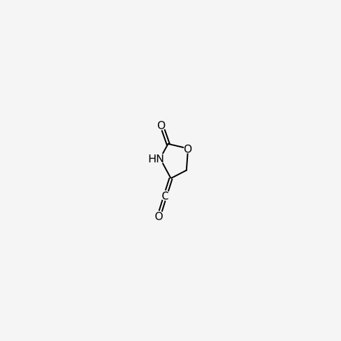 O=C=C1COC(=O)N1